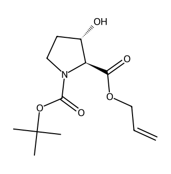 C=CCOC(=O)[C@@H]1[C@@H](O)CCN1C(=O)OC(C)(C)C